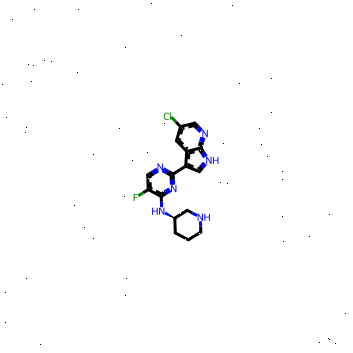 Fc1cnc(-c2c[nH]c3ncc(Cl)cc23)nc1N[C@@H]1CCCNC1